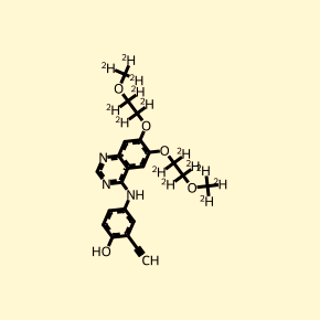 [2H]C([2H])([2H])OC([2H])([2H])C([2H])([2H])Oc1cc2ncnc(Nc3ccc(O)c(C#C)c3)c2cc1OC([2H])([2H])C([2H])([2H])OC([2H])([2H])[2H]